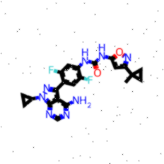 CC1(c2cc(NC(=O)Nc3cc(F)c(-c4nn(C5CC5)c5ncnc(N)c45)cc3F)on2)CC1